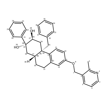 Cc1ncccc1COc1ccc2c(c1)CC[C@@H]1C[C@@](O)(c3ccccc3)[C@@H](O)C[C@@]21Cc1ccccc1